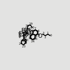 CCCCOc1ccc(S2(OS(=O)(=O)C(F)(F)C(F)(F)C3CC4CCC3C4)CCCC2)c2ccccc12